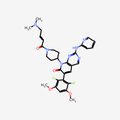 COc1cc(OC)c(F)c(-c2cc3cnc(Nc4ccccn4)nc3n(C3CCN(C(=O)/C=C/CN(C)C)CC3)c2=O)c1F